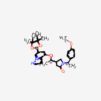 COc1ccc([C@@H](C)N2CC([C@@H](C)Oc3cc(B4OC(C)(C)C(C)(C)O4)cn4nccc34)CC2=O)cc1